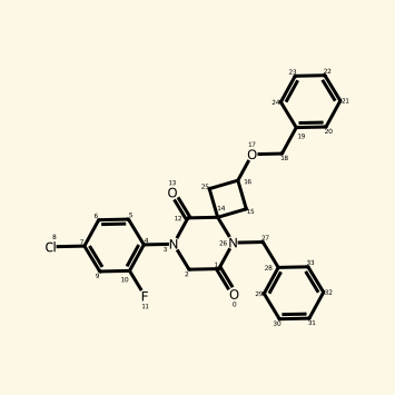 O=C1CN(c2ccc(Cl)cc2F)C(=O)C2(CC(OCc3ccccc3)C2)N1Cc1ccccc1